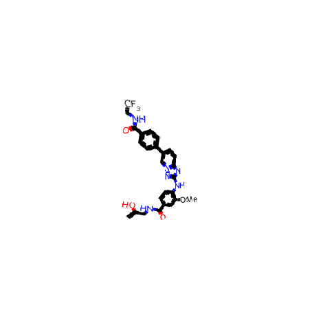 C=C(O)CNC(=O)c1ccc(Nc2nc3ccc(-c4ccc(C(=O)NCC(F)(F)F)cc4)cn3n2)c(OC)c1